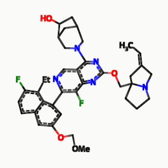 C/C=C1/CN2CCCC2(COc2nc(N3CC4CC(O)C(C4)C3)c3cnc(-c4cc(OCOC)cc5ccc(F)c(CC)c45)c(F)c3n2)C1